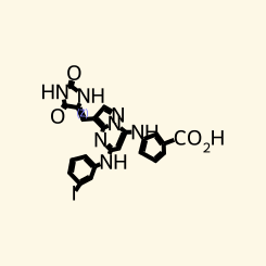 O=C1NC(=O)/C(=C/c2cnn3c(Nc4cccc(C(=O)O)c4)cc(Nc4cccc(I)c4)nc23)N1